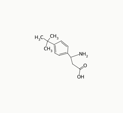 CC(C)(C)c1ccc(C(N)CC(=O)O)cc1